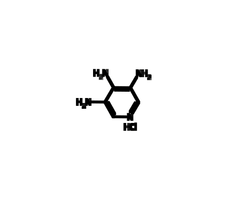 Cl.Nc1cncc(N)c1N